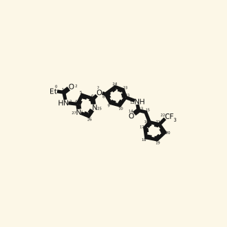 CCC(=O)Nc1cc(Oc2ccc(NC(=O)Cc3ccccc3C(F)(F)F)cc2)ncn1